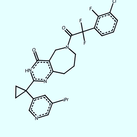 CC(C)c1cncc(C2(c3nc4c(c(=O)[nH]3)CN(C(=O)C(F)(F)c3cccc(Cl)c3F)CCC4)CC2)c1